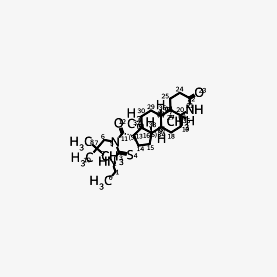 CCNC(=S)N(CC(C)(C)C)C(=O)[C@H]1CC[C@H]2[C@@H]3CC[C@H]4NC(=O)CC[C@]4(C)[C@H]3CC[C@]12C